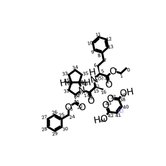 CCOC(=O)[C@H](CCc1ccccc1)N[C@@H](C)C(=O)N1[C@H](C(=O)OCc2ccccc2)C[C@@H]2CCC[C@@H]21.O=C(O)/C=C\C(=O)O